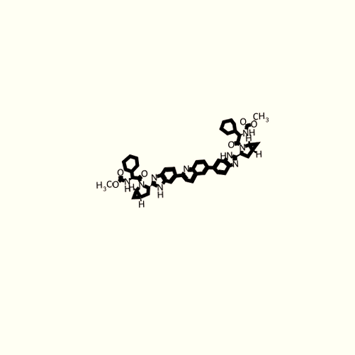 COC(=O)N[C@H](C(=O)N1[C@@H]2C[C@@H]2C[C@H]1c1nc2ccc(-c3ccc4nc(-c5ccc6nc([C@@H]7C[C@H]8C[C@H]8N7C(=O)[C@@H](NC(=O)OC)C7CCCCC7)[nH]c6c5)ccc4c3)cc2[nH]1)C1CCCCC1